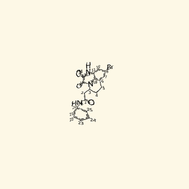 O=C(CC1CCc2cc(Br)cc3[nH]c(=O)c(=O)n1c23)Nc1ccccc1